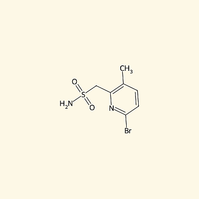 Cc1ccc(Br)nc1CS(N)(=O)=O